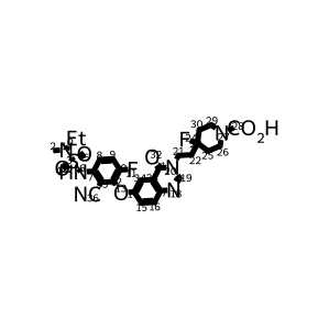 CCN(C)S(=O)(=O)Nc1ccc(F)c(Oc2ccc3ncn(CCC4(F)CCN(C(=O)O)CC4)c(=O)c3c2)c1C#N